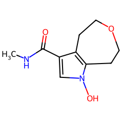 CNC(=O)c1cn(O)c2c1CCOCC2